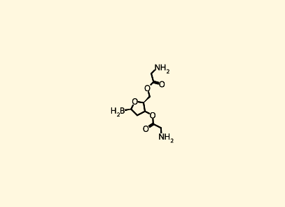 B[C@@H]1CC(OC(=O)CN)[C@H](COC(=O)CN)O1